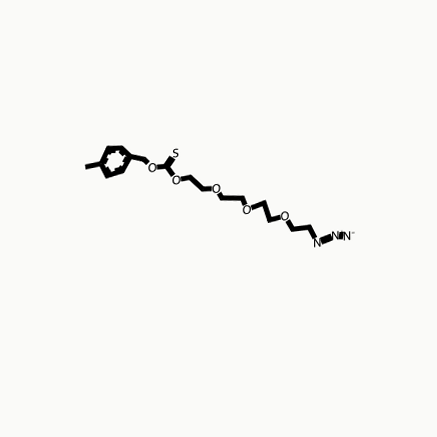 Cc1ccc(COC(=S)OCCOCCOCCOCCN=[N+]=[N-])cc1